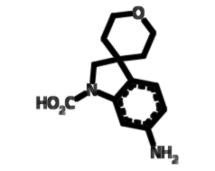 Nc1ccc2c(c1)N(C(=O)O)CC21CCOCC1